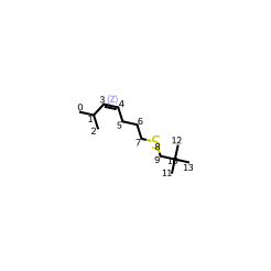 CC(C)/C=C\CCCSCC(C)(C)C